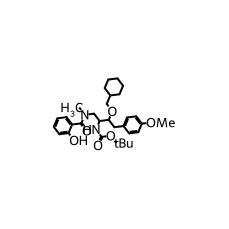 COc1ccc(CC(OCC2CCCCC2)C(CN(C)C(=O)c2ccccc2O)NC(=O)OC(C)(C)C)cc1